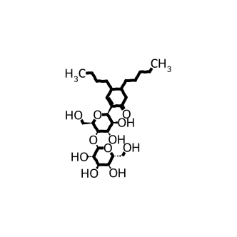 CCCCCC1CC(=O)C([C@@H]2O[C@H](CO)[C@@H](O[C@@H]3O[C@H](CO)[C@H](O)[C@@H](O)[C@@H]3O)[C@@H](O)[C@@H]2O)=CC1CCCC